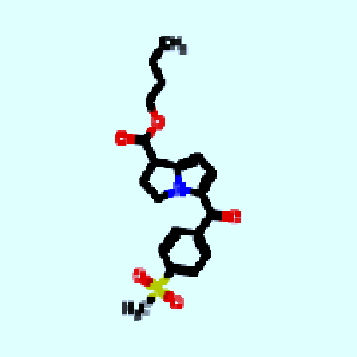 CCCCOC(=O)C1CCn2c(C(=O)c3ccc(S(C)(=O)=O)cc3)ccc21